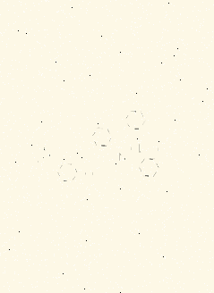 CN(C)Cc1cccc(OCCCN(Cc2cccc(C(F)(F)F)c2Cl)CC(c2ccccc2)c2ccccc2)c1